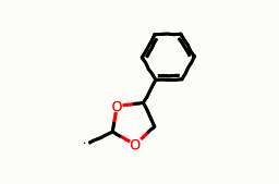 [CH2]C1OCC(c2ccccc2)O1